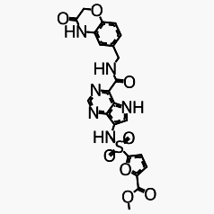 COC(=O)c1ccc(S(=O)(=O)Nc2c[nH]c3c(C(=O)NCc4ccc5c(c4)NC(=O)CO5)ncnc23)o1